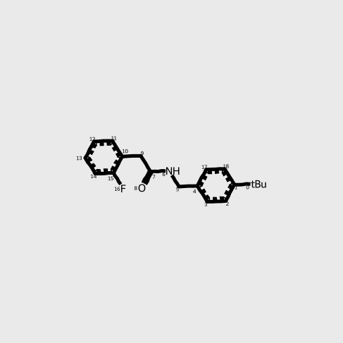 CC(C)(C)c1ccc(CNC(=O)Cc2ccccc2F)cc1